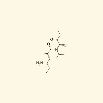 CCC(=O)C(=O)N(C(=O)C(C)=CC(N)CC)C(C)C